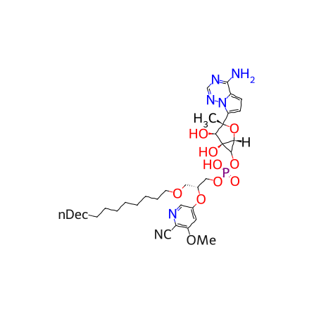 CCCCCCCCCCCCCCCCCCOC[C@H](COP(=O)(O)OC1[C@H]2O[C@@](C)(c3ccc4c(N)ncnn34)[C@H](O)[C@@]12O)Oc1cnc(C#N)c(OC)c1